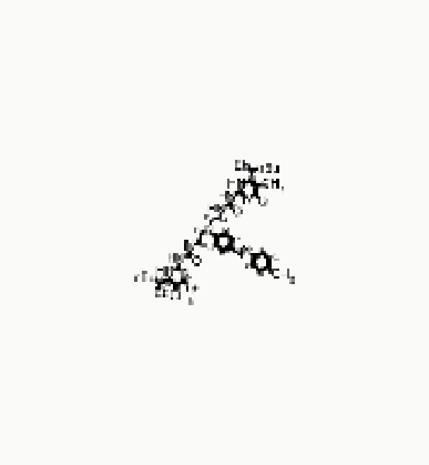 CCCCC(CC)c1[nH]c(NC(=O)NCCN(CCNC(=O)Nc2nc(=O)c(C)c(C(CC)CCCC)[nH]2)c2ccc(/N=N/c3ccc(C)cc3)cc2)nc(=O)c1C